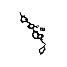 Cc1ccc(-c2ccn(-c3ccc4c(cnn4CCN4CCCC4)c3)c(=O)c2)cc1.Cl